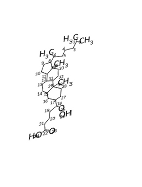 CC(C)CCCC(C)C1CCC2C3CCC4CC(C(CCCC(=O)O)OO)CCC4(C)C3CCC12C